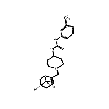 CC1(C)C2C[C@@H]1CC=C2CN1CCC(NC(=O)Nc2cccc(C(F)(F)F)c2)CC1